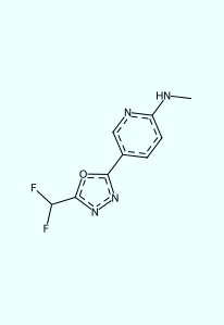 CNc1ccc(-c2nnc(C(F)F)o2)cn1